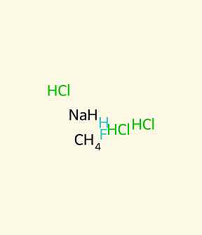 C.Cl.Cl.Cl.F.[NaH]